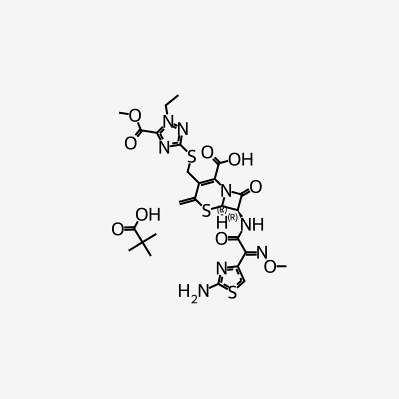 C=C1S[C@@H]2[C@H](NC(=O)C(=NOC)c3csc(N)n3)C(=O)N2C(C(=O)O)=C1CSc1nc(C(=O)OC)n(CC)n1.CC(C)(C)C(=O)O